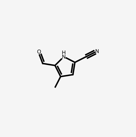 Cc1cc(C#N)[nH]c1C=O